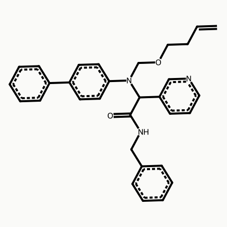 C=CCCOCN(c1ccc(-c2ccccc2)cc1)C(C(=O)NCc1ccccc1)c1cccnc1